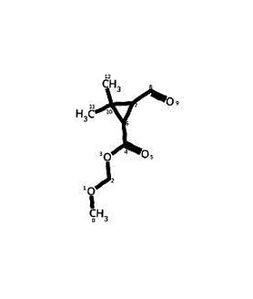 COCOC(=O)C1C(C=O)C1(C)C